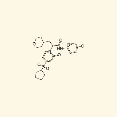 O=C(Nc1ccc(Cl)cn1)C(CC1CCOCC1)n1ccc(S(=O)(=O)C2CCCC2)cc1=O